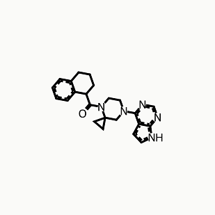 O=C(C1CCCc2ccccc21)N1CCN(c2ncnc3[nH]ccc23)CC12CC2